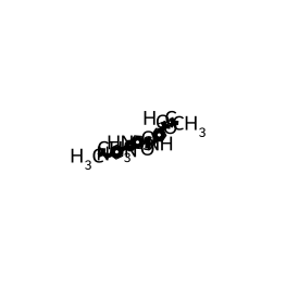 CC(C)OC(=O)c1ccc(NS(=O)(=O)c2ccc3[nH]c(-c4ccc(CN(C)C)cc4)nc3c2)cc1